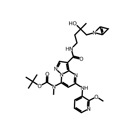 COc1ncccc1Nc1cc(N(C)C(=O)OC(C)(C)C)n2ncc(C(=O)NCCC(C)(O)CN3C4=C3C4)c2n1